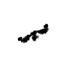 COC(=O)CC[C@@H](C)C1CC[C@H]2[C@@H]3CC[C@@H]4CC(OCC#Cc5ccc6c7ccc(C#CCO[C@@H]8CCC9(C)C%10CCC%11(C)C([C@H](C)CCC(=O)OC)CC[C@H]%11[C@@H]%10CC[C@@H]9C8)cc7n(CCNC(=O)OC(C)(C)C)c6c5)CCC4(C)C3CCC12C